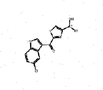 CC[C@H](O)c1csc(C(=O)c2c[nH]c3ccc(Cl)cc23)n1